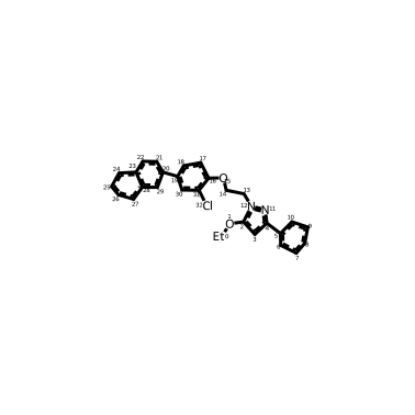 CCOc1cc(-c2ccccc2)nn1CCOc1ccc(-c2ccc3ccccc3c2)cc1Cl